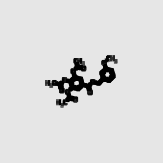 COc1cccc(COC(=O)c2cc(OC(C)=O)c(OC(C)=O)c(OC(C)=O)c2)c1